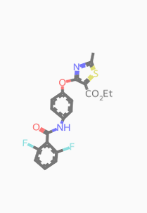 CCOC(=O)c1sc(C)nc1Oc1ccc(NC(=O)c2c(F)cccc2F)cc1